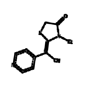 CCN1C(=O)CS/C1=C(/C#N)c1ccncc1